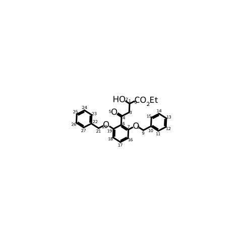 CCOC(=O)C(O)CC(=O)c1c(OCc2ccccc2)cccc1OCc1ccccc1